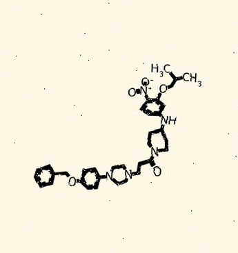 CC(C)COc1cc(NC2CCN(C(=O)CCN3CCN(c4ccc(OCc5ccccc5)cc4)CC3)CC2)ccc1[N+](=O)[O-]